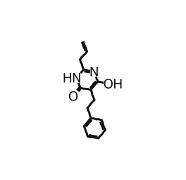 C=CCc1nc(O)c(CCc2ccccc2)c(=O)[nH]1